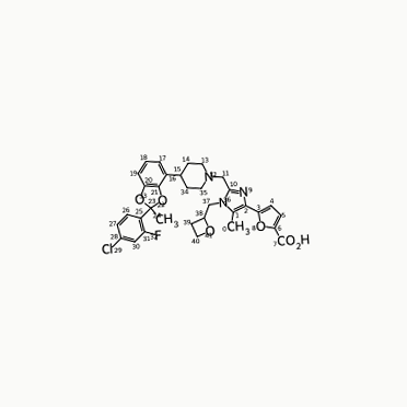 Cc1c(-c2ccc(C(=O)O)o2)nc(CN2CCC(c3cccc4c3OC(C)(c3ccc(Cl)cc3F)O4)CC2)n1CC1CCO1